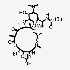 CC[C@H]1OC(=O)C(C)C(=O)[C@H](C)[C@@H](O[C@@H]2O[C@H](C(C)N[S@@+]([O-])C(C)(C)C)CC(N(C)C)[C@H]2O)[C@](C)(OC)C[C@@H](C)CN(C)[C@H](C)[C@H]2NC(O)O[C@@]21C